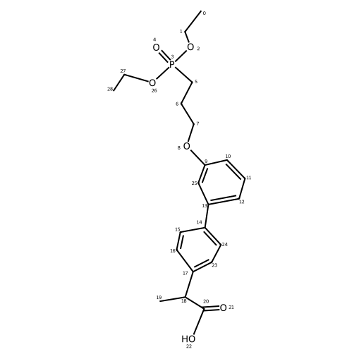 CCOP(=O)(CCCOc1cccc(-c2ccc(C(C)C(=O)O)cc2)c1)OCC